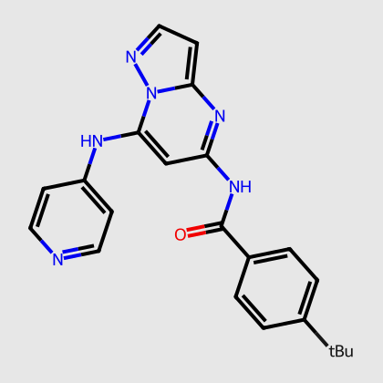 CC(C)(C)c1ccc(C(=O)Nc2cc(Nc3ccncc3)n3nccc3n2)cc1